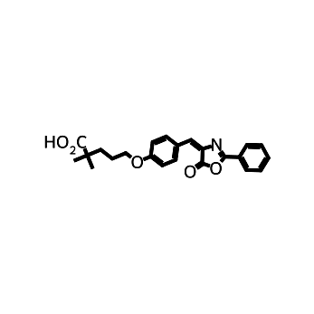 CC(C)(CCCOc1ccc(C=C2N=C(c3ccccc3)OC2=O)cc1)C(=O)O